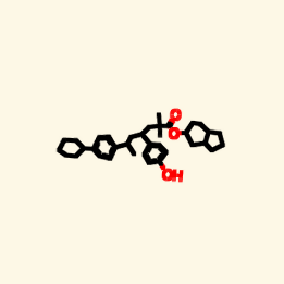 CC(CC(CC(C)(C)C(=O)OC1CCC2CCCC2C1)c1ccc(O)cc1)c1ccc(C2CCCCC2)cc1